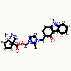 Cc1n(CC2CCc3c(c4ccccc4n3C)C2=O)cc[n+]1COC(=O)C1(CN)CCCC1